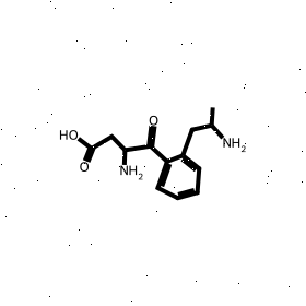 CC(N)Cc1ccccc1C(=O)C(N)CC(=O)O